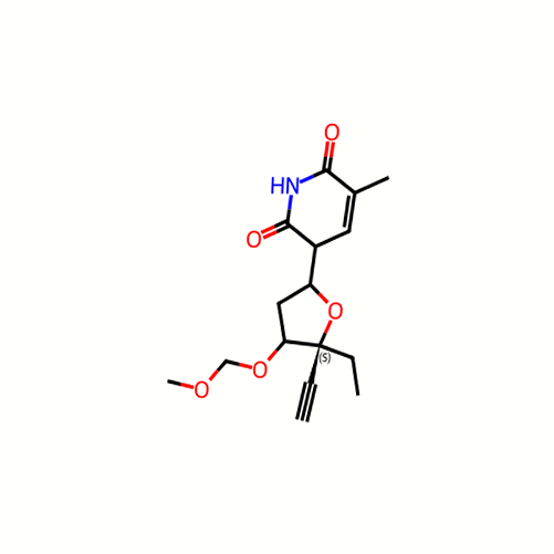 C#C[C@]1(CC)OC(C2C=C(C)C(=O)NC2=O)CC1OCOC